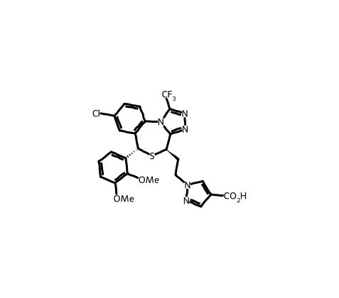 COc1cccc([C@H]2S[C@H](CCn3cc(C(=O)O)cn3)c3nnc(C(F)(F)F)n3-c3ccc(Cl)cc32)c1OC